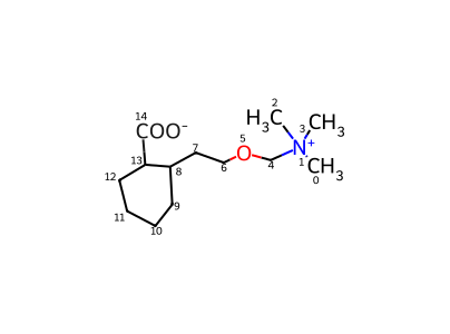 C[N+](C)(C)COCCC1CCCCC1C(=O)[O-]